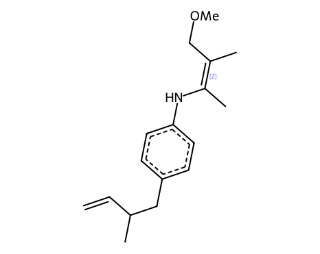 C=CC(C)Cc1ccc(N/C(C)=C(/C)COC)cc1